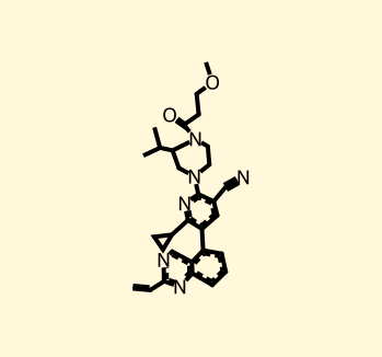 C=Cc1ncc2c(-c3cc(C#N)c(N4CCN(C(=O)CCOC)C(C(C)C)C4)nc3C3CC3)cccc2n1